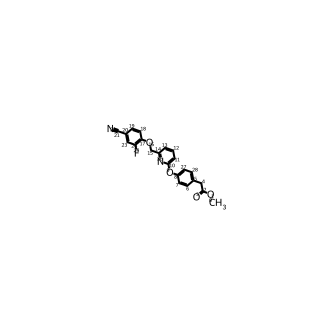 COC(=O)Cc1ccc(Oc2cccc(COc3ccc(C#N)cc3F)n2)cc1